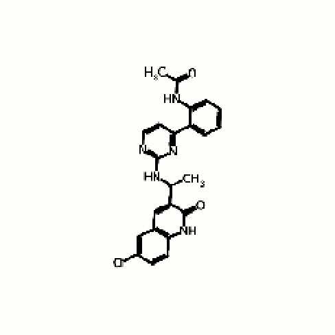 CC(=O)Nc1ccccc1-c1ccnc(N[C@@H](C)c2cc3cc(Cl)ccc3[nH]c2=O)n1